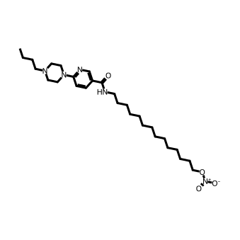 CCCCN1CCN(c2ccc(C(=O)NCCCCCCCCCCCCCCO[N+](=O)[O-])cn2)CC1